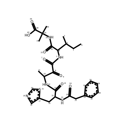 CCC(C)C(NC(=O)C(=O)C(C)NC(=O)C(Cc1cncs1)NC(=O)Cc1ccccc1)C(=O)NC(C)(C)C(=O)O